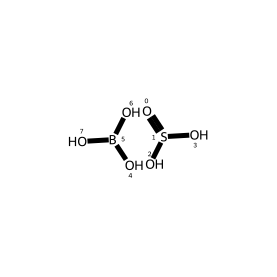 O=S(O)O.OB(O)O